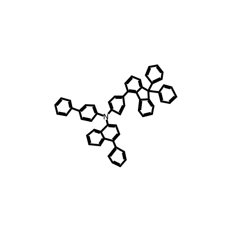 c1ccc(-c2ccc(N(c3ccc(-c4cccc5c4-c4ccccc4C5(c4ccccc4)c4ccccc4)cc3)c3ccc(-c4ccccc4)c4ccccc34)cc2)cc1